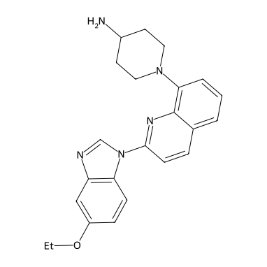 CCOc1ccc2c(c1)ncn2-c1ccc2cccc(N3CCC(N)CC3)c2n1